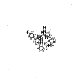 O=C(Cc1ccccc1)Nc1cncc(-c2ccc3[nH]nc(-c4nc5c(-c6ccc(F)cc6)cccc5[nH]4)c3n2)c1